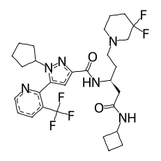 O=C(C[C@H](CCN1CCCC(F)(F)C1)NC(=O)c1cc(-c2ncccc2C(F)(F)F)n(C2CCCC2)n1)NC1CCC1